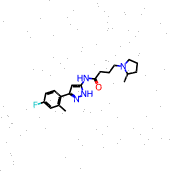 Cc1cc(F)ccc1-c1cc(NC(=O)CCCN2CCCC2C)[nH]n1